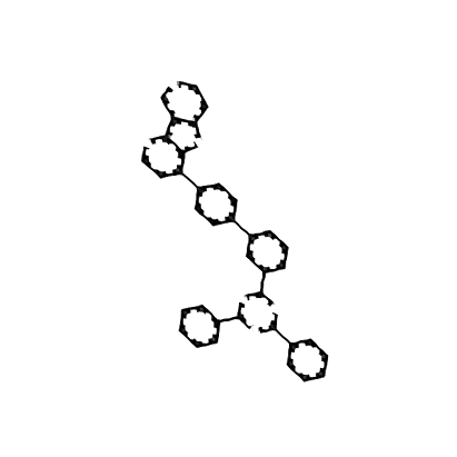 c1ccc(-c2nc(-c3ccccc3)nc(-c3cccc(-c4ccc(-c5ccnc6c5sc5ccncc56)cc4)c3)n2)cc1